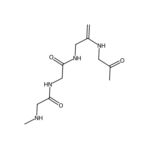 C=C(CNC(=O)CNC(=O)CNC)NCC(C)=O